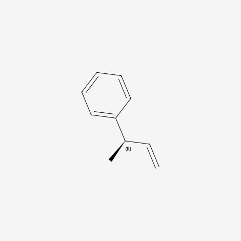 C=C[C@@H](C)c1ccccc1